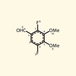 COc1c(F)cc(C=O)c(F)c1OC